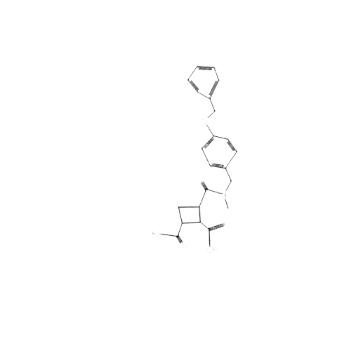 CN(Cc1ccc(OCc2ccccc2)cc1)C(=O)C1CC(C(=O)O)C1C(=O)O